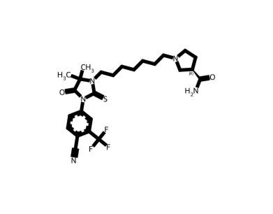 CC1(C)C(=O)N(c2ccc(C#N)c(C(F)(F)F)c2)C(=S)N1CCCCCCCN1CC[C@@H](C(N)=O)C1